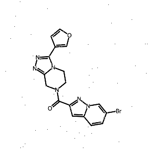 O=C(c1cc2ccc(Br)cn2n1)N1CCn2c(nnc2-c2ccoc2)C1